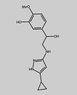 COc1ccc(C(O)CNc2cc(C3CC3)[nH]n2)cc1O